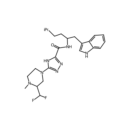 CC(C)CCC(Cc1c[nH]c2ccccc12)NC(=O)c1nnc(N2CCN(C)C(C(F)F)C2)[nH]1